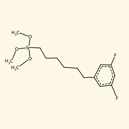 CO[Si](CCCCCCc1cc(F)cc(F)c1)(OC)OC